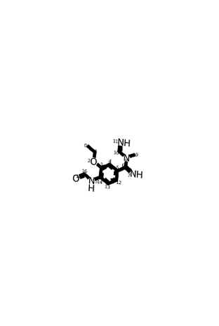 CCOc1cc(C(=N)N(C)C=N)ccc1NC=O